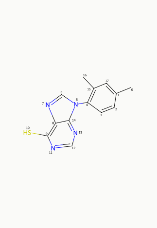 Cc1ccc(-n2cnc3c(S)ncnc32)c(C)c1